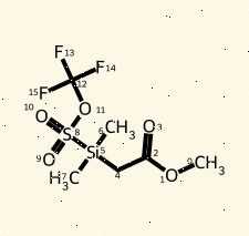 COC(=O)C[Si](C)(C)S(=O)(=O)OC(F)(F)F